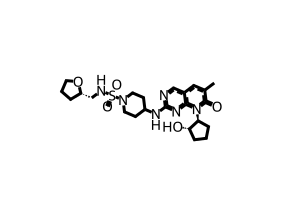 Cc1cc2cnc(NC3CCN(S(=O)(=O)NC[C@@H]4CCCO4)CC3)nc2n([C@H]2CCC[C@@H]2O)c1=O